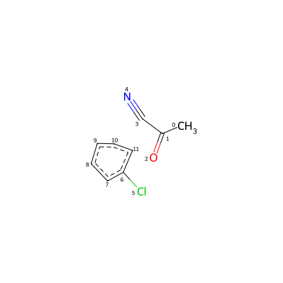 CC(=O)C#N.Clc1ccccc1